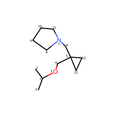 CC(C)OCC1(CN2CCCC2)CC1